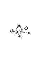 CCCn1c(-n2cccn2)nc2c(N)nc(NCC(C)c3ccccc3)nc21